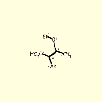 CCOC(C)C(C(C)=O)C(=O)O